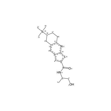 CC(CO)NC(=O)c1cc2cc3c(nc2s1)CCC([Si](C)(C)C)C3